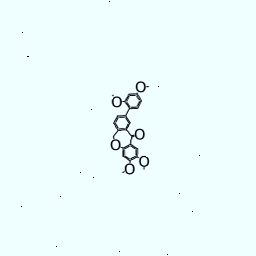 COc1ccc(-c2ccc3c(c2)C(=O)c2cc(OC)c(OC)cc2OC3)c(OC)c1